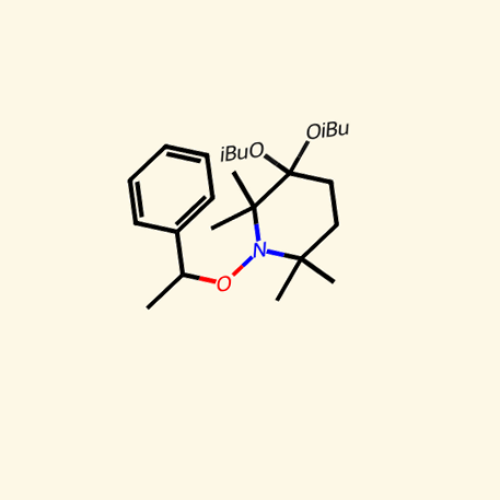 CC(C)COC1(OCC(C)C)CCC(C)(C)N(OC(C)c2ccccc2)C1(C)C